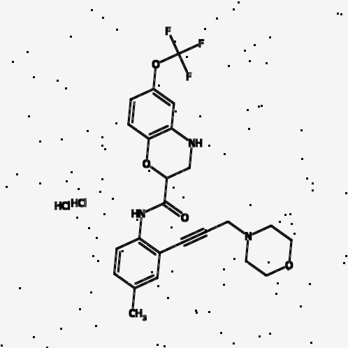 Cc1ccc(NC(=O)C2CNc3cc(OC(F)(F)F)ccc3O2)c(C#CCN2CCOCC2)c1.Cl.Cl